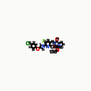 COc1nc(N2CC(Oc3ccc(Cl)cc3)C2)c(F)cc1CNC(=O)[C@@H]1CCCN1C(=O)OC(C)(C)C